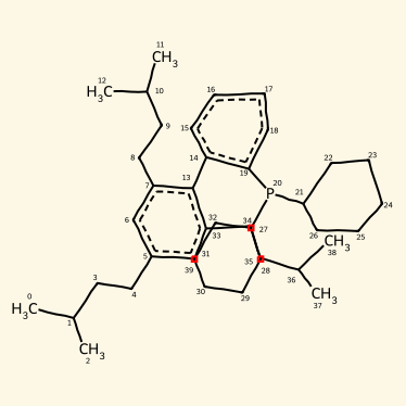 CC(C)CCc1cc(CCC(C)C)c(-c2ccccc2P(C2CCCCC2)C2CCCCC2)c(CCC(C)C)c1